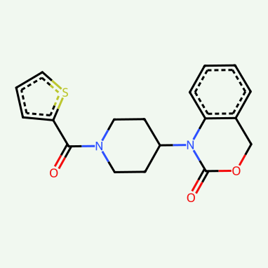 O=C(c1cccs1)N1CCC(N2C(=O)OCc3ccccc32)CC1